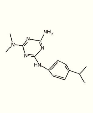 CC(C)c1ccc(Nc2nc(N)nc(N(C)C)n2)cc1